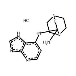 Cl.NC1(Nc2ncnc3nc[nH]c23)CN2CCN1CC2